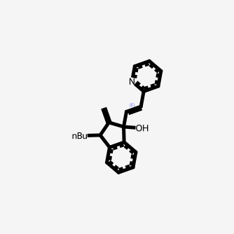 C=C1C(CCCC)c2ccccc2C1(O)/C=C/c1ccccn1